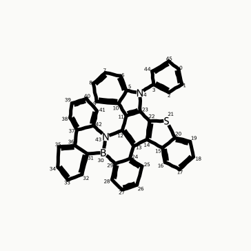 c1ccc(-n2c3ccccc3c3c4c(c5c6ccccc6sc5c32)-c2ccccc2B2c3ccccc3-c3ccccc3N24)cc1